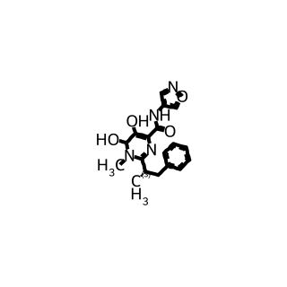 C[C@@H](Cc1ccccc1)C1=NC(C(=O)Nc2cnoc2)=C(O)C(O)N1C